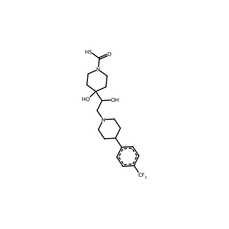 O=C(S)N1CCC(O)(C(O)CN2CCC(c3ccc(C(F)(F)F)cc3)CC2)CC1